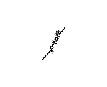 CCCCCCCCCC(=O)c1ccc(C=CC(=O)Oc2ccc(C(=O)OC(CCCCCC)C(F)(F)F)cc2)cc1